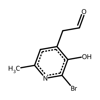 Cc1cc(CC=O)c(O)c(Br)n1